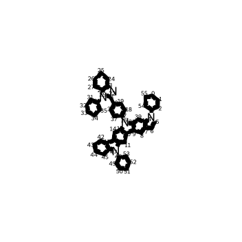 c1ccc(-n2ccc3cc4c5cc6c(cc5n(-c5ccc(-c7nc8ccccc8n7-c7ccccc7)cc5)c4cc32)c2ccccc2n6-c2ccccc2)cc1